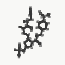 CC(SC[C@@H]1C[C@H](OS(C)(=O)=O)CN1C(=O)OCc1ccc([N+](=O)[O-])cc1)C(=O)NCC#N